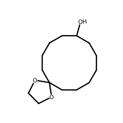 OC1CCCCCCC2(CCCC1)OCCO2